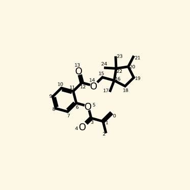 C=C(C)C(=O)Oc1ccccc1C(=O)OCC1(C)CCC(C)C1(C)C